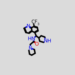 O=C(CN1CCCCC1)NC(c1ccc(C(F)(F)F)c2ncccc12)C1CCNCC1